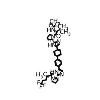 COC(=O)N[C@H](C(=O)N1CCC[C@H]1c1ncc(-c2ccc(-c3ccc(-c4cnc([C@@H]5CCCN5C(=O)[C@@H](C)CCC(F)(F)F)[nH]4)cc3)cc2)[nH]1)C(C)C